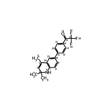 CC1=CC(C)(C)Nc2ccc(-c3ccc(C(=O)C(F)(F)F)cc3)cc21